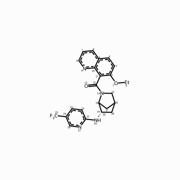 CCOc1ccc2cccnc2c1C(=O)N1CC2CC1[C@@H](Nc1ccc(C(F)(F)F)cn1)C2